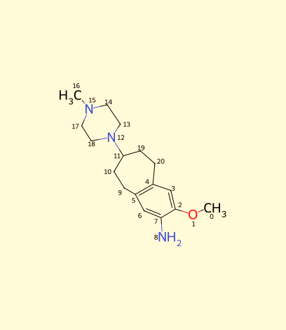 COc1cc2c(cc1N)CCC(N1CCN(C)CC1)CC2